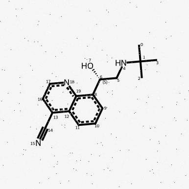 CC(C)(C)NC[C@@H](O)c1cccc2c(C#N)ccnc12